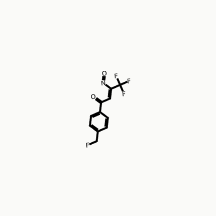 O=N/C(=C\C(=O)c1ccc(CF)cc1)C(F)(F)F